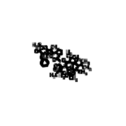 CC[C@@H](C)[C@@H]([C@@H](CC(=O)N1CCC[C@@H]1[C@H](OC)[C@H](C)C(=O)N[C@H](Cc1ccccc1)C(=O)OC)OC)N(C)C(=O)[C@H](NC(=O)[C@@H](C(C)C)N(C)C(=O)OC(C)(C)C)C(C)C